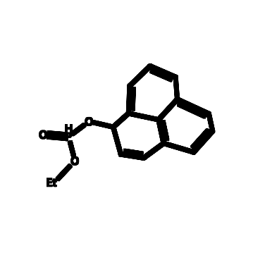 CCO[PH](=O)OC1C=Cc2cccc3cccc1c23